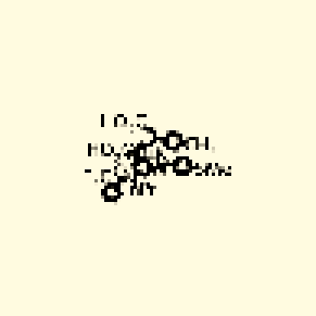 CCCCN(C(=O)c1ccc(SC)cc1)c1cc(C)ccc1C(CCC(=O)O)CCC(C(=O)O)c1cccc(N(CCC)C(=O)c2ccccc2C(F)(F)F)c1